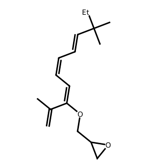 C=C(C)\C(=C/C=C\C=C\C(C)(C)CC)OCC1CO1